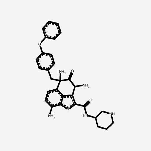 Nc1ccc2c3c(c(C(=O)NC4CCCNC4)sc13)C(N)C(=O)C2(N)Cc1ccc(Oc2ccccc2)cc1